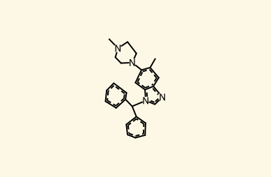 Cc1cc2ncn(C(c3ccccc3)c3ccccc3)c2cc1N1CCN(C)CC1